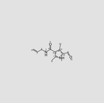 C=CCNC(=O)c1c(C)[nH]c(C=O)c1C